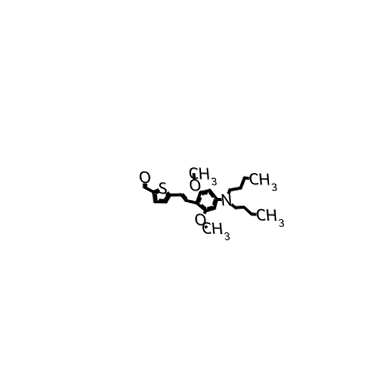 CCCCN(CCCC)c1cc(OC)c(C=Cc2ccc(C=O)s2)c(OC)c1